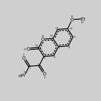 CCCC(=O)C(=O)c1cc2ccc(OCC)cc2oc1=O